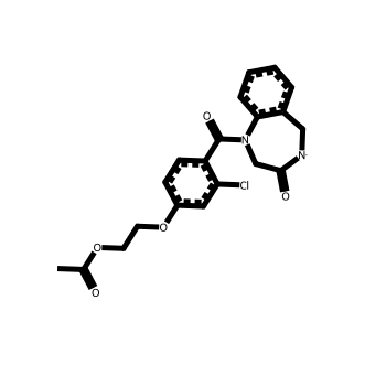 CC(=O)OCCOc1ccc(C(=O)N2CC(=O)[N]Cc3ccccc32)c(Cl)c1